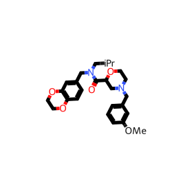 COc1cccc(CN2CCOC(C(=O)N(Cc3ccc4c(c3)OCCO4)CC(C)C)C2)c1